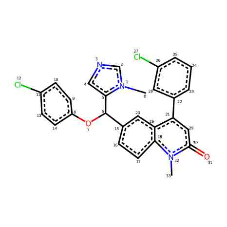 Cn1cncc1C(Oc1ccc(Cl)cc1)c1ccc2c(c1)c(-c1cccc(Cl)c1)cc(=O)n2C